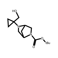 CC(C)(C)OC(=O)N1CC2CC1CN2C1(CO)CC1